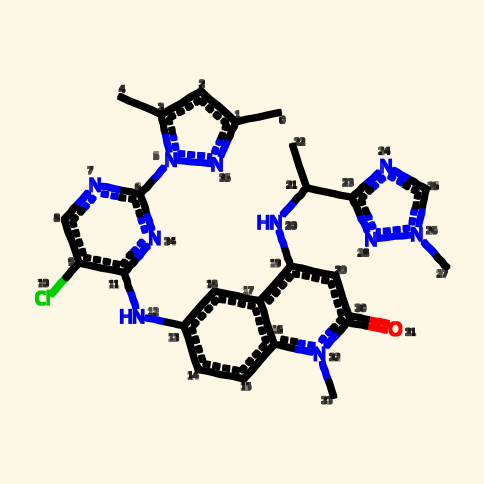 Cc1cc(C)n(-c2ncc(Cl)c(Nc3ccc4c(c3)c(NC(C)c3ncn(C)n3)cc(=O)n4C)n2)n1